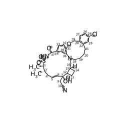 C[C@@H]1[C@@H](C)C/C=C/[C@@](O)(CC#N)[C@@H]2CC[C@H]2CN2CCCCc3cc(Cl)ccc3COc3ccc(cc32)C(=O)NS1(=O)=O